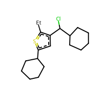 CCc1sc(C2CCCCC2)cc1C(Cl)C1CCCCC1